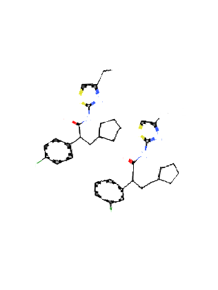 CCOC(=O)Cc1csc(NC(=O)C(CC2CCCC2)c2ccc(Cl)cc2)n1.CCOC(=O)c1csc(NC(=O)C(CC2CCCC2)c2cccc(Cl)c2)n1